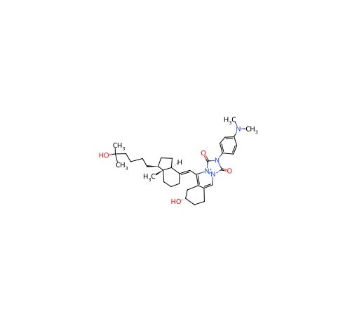 CN(C)c1ccc(N2C(=O)[n+]3cc4c(c(/C=C5\CCC[C@]6(C)[C@@H](CCCCC(C)(C)O)CC[C@@H]56)[n+]3C2=O)C[C@@H](O)CC4)cc1